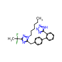 CCCCCCn1nc(C(C)(F)F)nc1Cc1ccc(-c2ccccc2-c2nnn[nH]2)cc1